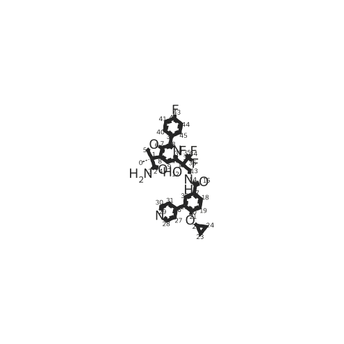 C[C@]1(C(N)=O)COc2c1cc([C@@](O)(CNC(=O)c1ccc(OC3CC3)c(-c3ccncc3)c1)C(F)(F)F)nc2-c1ccc(F)cc1